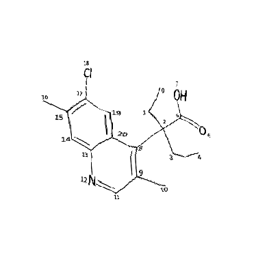 CCC(CC)(C(=O)O)c1c(C)cnc2cc(C)c(Cl)cc12